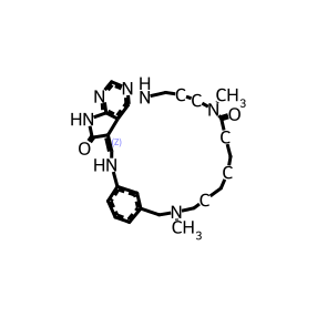 CN1CCCCCCC(=O)N(C)CCCNc2ncnc3c2/C(=C/Nc2cccc(c2)C1)C(=O)N3